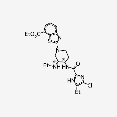 CCN[C@H]1CN(c2nc3cccc(C(=O)OCC)c3s2)CC[C@H]1NC(=O)c1nc(Cl)c(CC)[nH]1